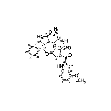 COc1cccc2[nH]c(C(=O)N3CC(OCc4ccccc4)CC3C(=O)NC(C#N)CC3CCNC3=O)cc12